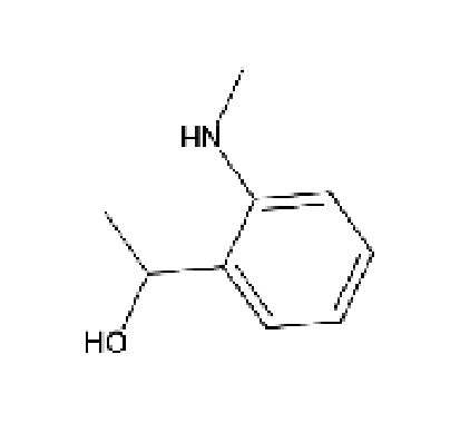 CNc1ccccc1C(C)O